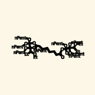 CCCCCOC(OCCCCC)(OC(=O)CCCCCCC(=O)OC(OCCCCC)(OCCCCC)C(OCCCCC)(OCCCCC)C(CC)OCC)C(OCCCCC)(OCCCCC)C(CC)OCC